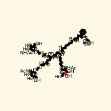 CC(=O)NC1C(OCCOCCNC(=O)CCC(NC(=O)CCC(NC(=O)CCCCCCC(=O)NCCCc2cn(C[C@H](CO)OC(C)(C)C)c3ccccc23)C(=O)NCCOCCOC2OC(CO)C(O)C(O)C2NC(C)=O)C(=O)NCCOCCOC2OC(CO)C(O)C(O)C2NC(C)=O)OC(CO)C(O)C1O